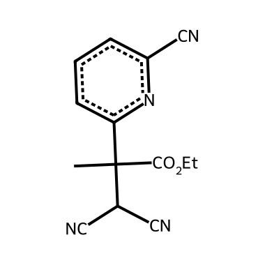 CCOC(=O)C(C)(c1cccc(C#N)n1)C(C#N)C#N